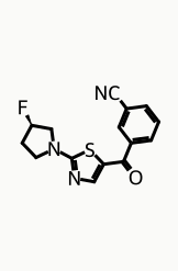 N#Cc1cccc(C(=O)c2cnc(N3CC[C@@H](F)C3)s2)c1